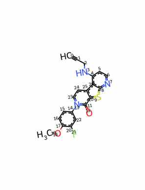 C#CCNc1ccnc2sc3c(=O)n(-c4ccc(OC)c(F)c4)ccc3c12